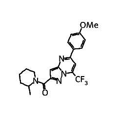 COc1ccc(-c2cc(C(F)(F)F)n3nc(C(=O)N4CCCCC4C)cc3n2)cc1